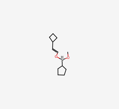 CO[SiH](OC=CC1CCC1)C1CCCC1